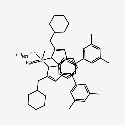 CC[CH2][Zr]([CH3])(=[SiH2])([CH]1C(CC2CCCCC2)=Cc2c(-c3cc(C)cc(C)c3)cccc21)[CH]1C(CC2CCCCC2)=Cc2c(-c3cc(C)cc(C)c3)cccc21.Cl.Cl